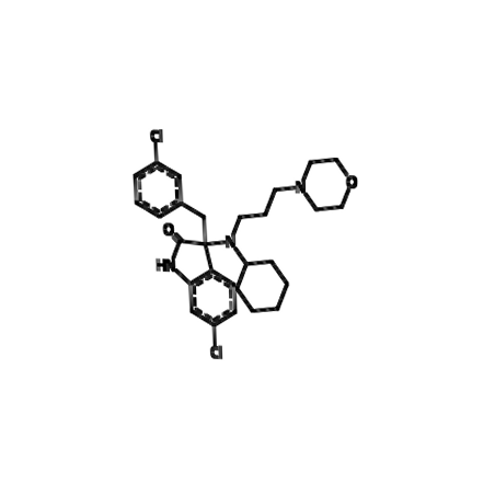 O=C1Nc2cc(Cl)ccc2C1(Cc1cccc(Cl)c1)N(CCCN1CCOCC1)C1CCCCC1